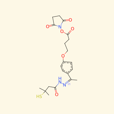 C/C(=N/NC(=O)CC(C)(C)S)c1ccc(OCCCC(=O)ON2C(=O)CCC2=O)cc1